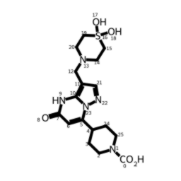 O=C(O)N1CCC(c2cc(=O)[nH]c3c(CN4CCS(O)(O)CC4)cnn23)CC1